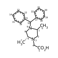 CC1CN(CC(=O)O)[C@H](C)CN1C(c1ccccc1)c1ccccc1